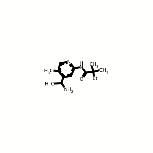 CCC(C)(C)C(=O)Nc1cc(C(C)N)c(C)cn1